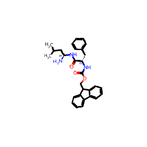 CC(C)C[C@H](N)NC(=O)[C@H](Cc1ccccc1)NC(=O)OCC1c2ccccc2-c2ccccc21